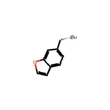 CC[C@@H](C)Cc1ccc2ccoc2c1